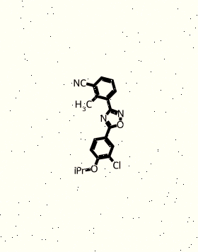 Cc1c(C#N)cccc1-c1noc(-c2ccc(OC(C)C)c(Cl)c2)n1